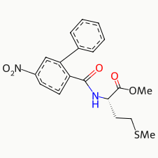 COC(=O)[C@H](CCSC)NC(=O)c1ccc([N+](=O)[O-])cc1-c1ccccc1